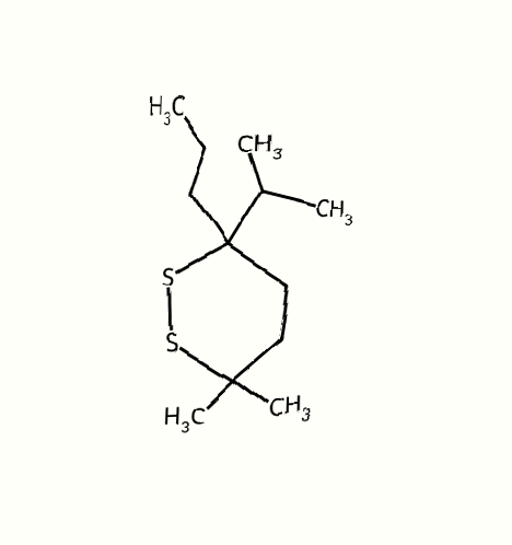 CCCC1(C(C)C)CCC(C)(C)SS1